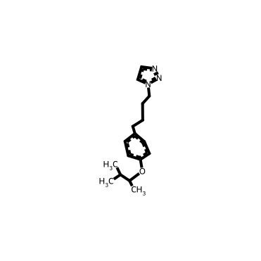 CC(C)C(C)Oc1ccc(CCCCn2ccnn2)cc1